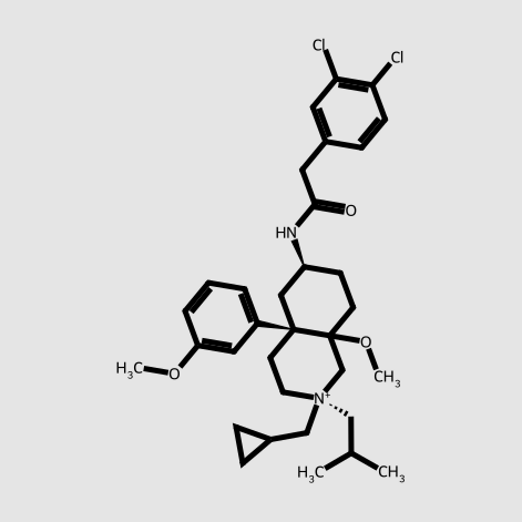 COc1cccc([C@]23CC[N@+](CC(C)C)(CC4CC4)CC2(OC)CC[C@H](NC(=O)Cc2ccc(Cl)c(Cl)c2)C3)c1